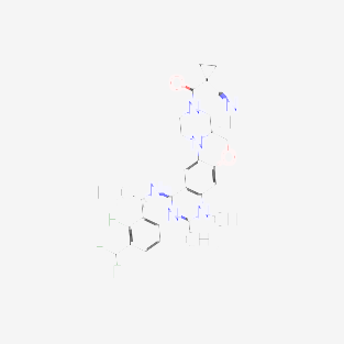 Cc1n/c(=N\[C@H](C)c2cccc(C(F)F)c2F)c2cc3c(cc2n1C)OC[C@@H]1CN(C(=O)C2(C#N)CC2)CCN31